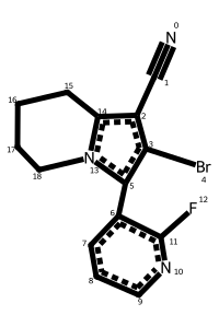 N#Cc1c(Br)c(-c2cccnc2F)n2c1CCCC2